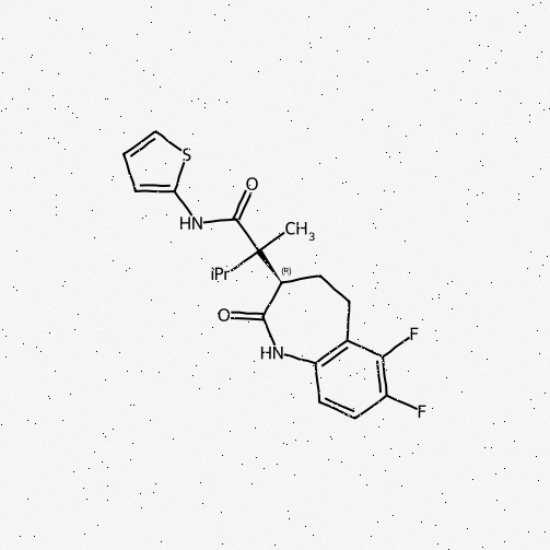 CC(C)C(C)(C(=O)Nc1cccs1)[C@H]1CCc2c(ccc(F)c2F)NC1=O